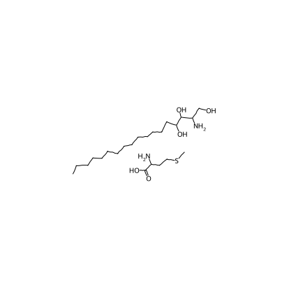 CCCCCCCCCCCCCCC(O)C(O)C(N)CO.CSCCC(N)C(=O)O